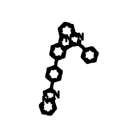 c1ccc(-c2nc3cccc4c5ccc(-c6ccc(-c7cn8ccccc8n7)cc6)cc5c2n34)cc1